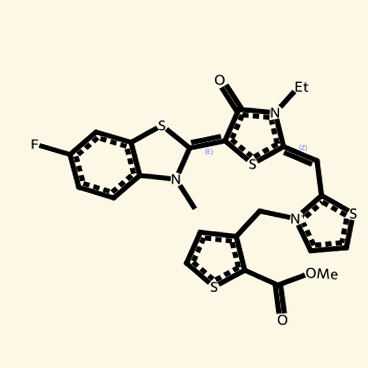 CCn1c(=O)/c(=C2\Sc3cc(F)ccc3N2C)s/c1=C\c1scc[n+]1Cc1ccsc1C(=O)OC